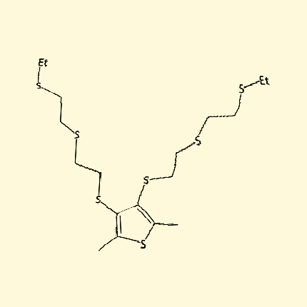 CCSCCSCCSc1c(C)sc(C)c1SCCSCCSCC